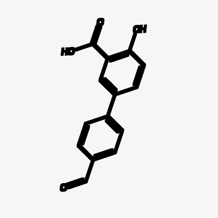 O=Cc1ccc(-c2ccc(O)c(C(=O)O)c2)cc1